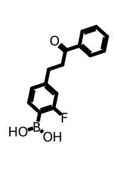 O=C(CCc1ccc(B(O)O)c(F)c1)c1ccccc1